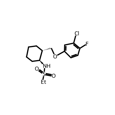 CCS(=O)(=O)N[C@H]1CCCC[C@@H]1COc1ccc(F)c(Cl)c1